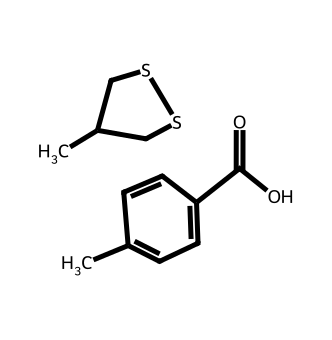 CC1CSSC1.Cc1ccc(C(=O)O)cc1